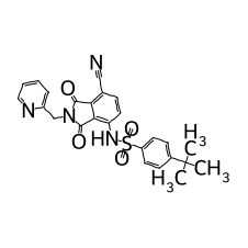 CC(C)(C)c1ccc(S(=O)(=O)Nc2ccc(C#N)c3c2C(=O)N(Cc2ccccn2)C3=O)cc1